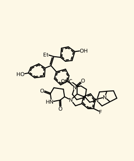 CCC(=C(c1ccc(O)cc1)c1ccc(N2CCC(CN3CC4CCC(C3)N4c3cc4c(cc3F)CN(C3CCC(=O)NC3=O)C4C(=O)C=O)CC2)cc1)c1ccc(O)cc1